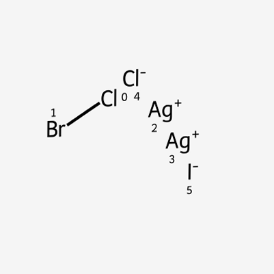 ClBr.[Ag+].[Ag+].[Cl-].[I-]